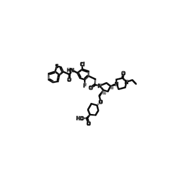 CCN1CCN([C@H]2C[C@@H](CO[C@H]3CC[C@H](C(=O)O)CC3)N(C(=O)Cc3cc(Cl)c(NC(=O)c4csc5ccccc45)cc3F)C2)CC1=O